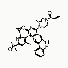 C=CC(=O)N1CCN(c2nc(=O)n(-c3c(C)cc(P(C)(C)=O)nc3C3CC3)c3nc(-c4ccccc4F)c(Cl)cc23)[C@@H](C)C1